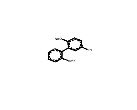 COc1ccc(C#N)cc1-c1nc[c]cc1OC